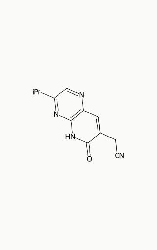 CC(C)c1cnc2cc(CC#N)c(=O)[nH]c2n1